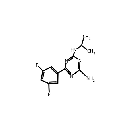 CC(C)Nc1nc(N)nc(-c2cc(F)cc(F)c2)n1